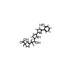 CC1(C(=O)O)CSC(C(C)(C)C(O)C2CSC(C3CSC(c4ccccc4O)=N3)N2)=N1